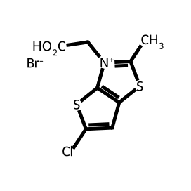 Cc1sc2cc(Cl)sc2[n+]1CC(=O)O.[Br-]